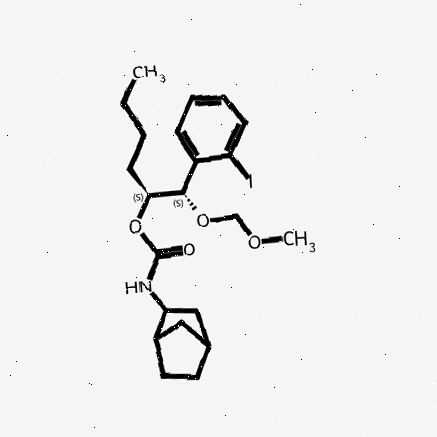 CCCC[C@H](OC(=O)NC1CC2CCC1C2)[C@@H](OCOC)c1ccccc1I